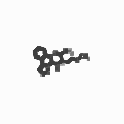 CSCC[C@@H](Nc1nc2ccccc2c2cnnn12)C(N)=O